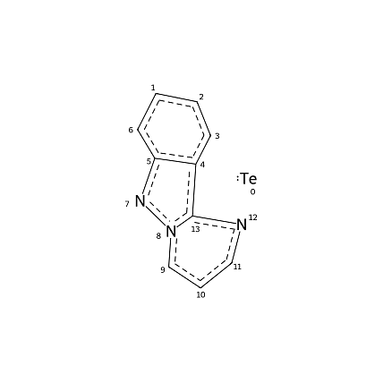 [Te].c1ccc2c(c1)nn1cccnc21